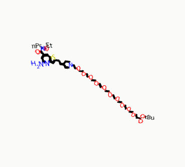 CCCN(OCC)C(=O)C1=Cc2sc(CCC3CCN(CCOCCOCCOCCOCCOCCOCCOCCOCCOCCOCCC(=O)OC(C)(C)C)CC3)cc2N=C(N)C1